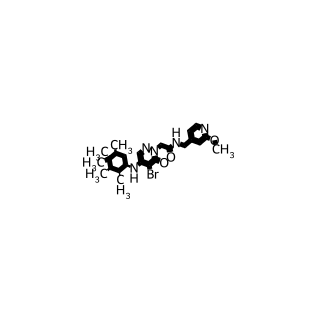 COc1cc(CNC(=O)Cn2ncc(N[C@@H]3C[C@H](C)C(C)(C)[C@H](C)[C@H]3C)c(Br)c2=O)ccn1